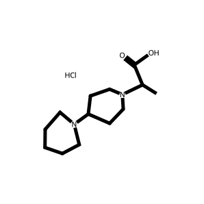 CC(C(=O)O)N1CCC(N2CCCCC2)CC1.Cl